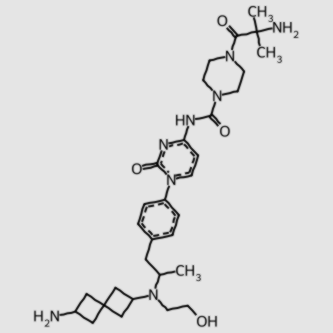 CC(Cc1ccc(-n2ccc(NC(=O)N3CCN(C(=O)C(C)(C)N)CC3)nc2=O)cc1)N(CCO)C1CC2(CC(N)C2)C1